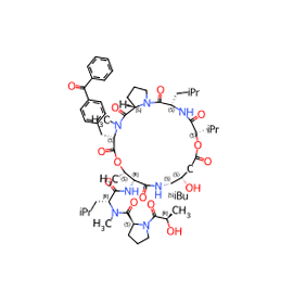 CC[C@H](C)[C@@H]1NC(=O)[C@H](NC(=O)[C@@H](CC(C)C)N(C)C(=O)[C@@H]2CCCN2C(=O)[C@@H](C)O)[C@H](C)OC(=O)[C@H](Cc2ccc(C(=O)c3ccccc3)cc2)N(C)C(=O)[C@@H]2CCCN2C(=O)[C@H](CC(C)C)NC(=O)[C@H](C(C)C)OC(=O)C[C@@H]1O